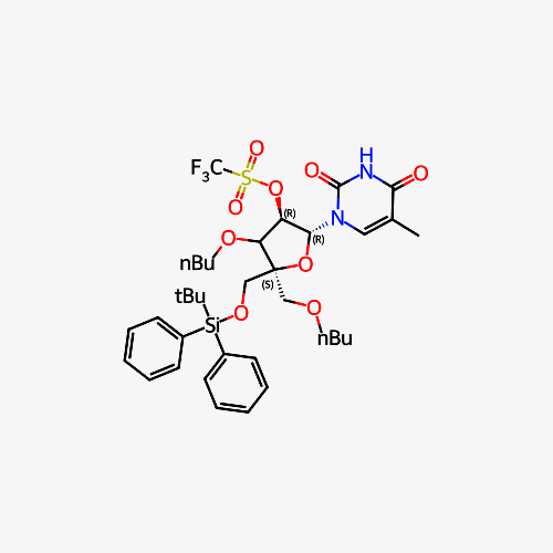 CCCCOC[C@@]1(CO[Si](c2ccccc2)(c2ccccc2)C(C)(C)C)O[C@@H](n2cc(C)c(=O)[nH]c2=O)[C@H](OS(=O)(=O)C(F)(F)F)C1OCCCC